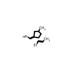 CC=CCC.CCCC=C1CCC(C)C1